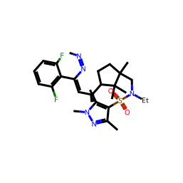 C=C(/C=C(\N=N/C)c1c(F)cccc1F)C1CCC(C)(CN(CC)S(=O)(=O)c2c(C)nn(C)c2C)C1(C)C